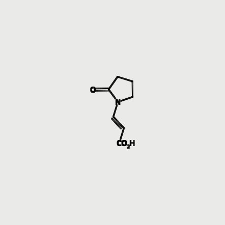 O=C(O)C=CN1CCCC1=O